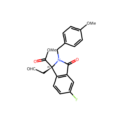 COC(=O)[C@@]1(CC=O)c2ccc(F)cc2C(=O)N1Cc1ccc(OC)cc1